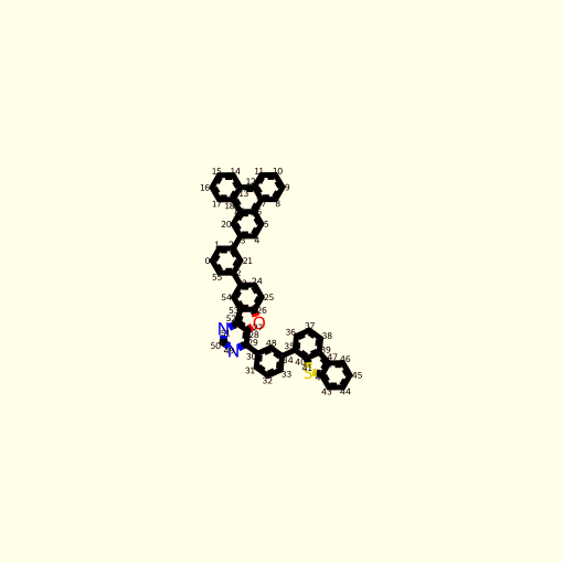 c1cc(-c2ccc3c4ccccc4c4ccccc4c3c2)cc(-c2ccc3oc4c(-c5cccc(-c6cccc7c6sc6ccccc67)c5)ncnc4c3c2)c1